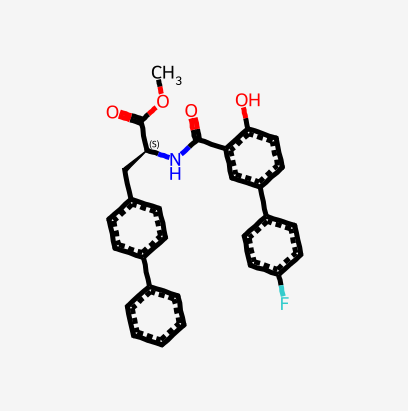 COC(=O)[C@H](Cc1ccc(-c2ccccc2)cc1)NC(=O)c1cc(-c2ccc(F)cc2)ccc1O